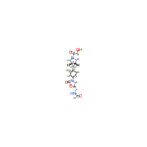 CC(=O)NC[C@H]1CN(c2ccc([C@H]3[C@@H]4CN(C(=O)CO)C[C@@H]43)c(F)c2)C(=O)O1